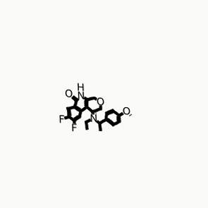 CCN(C(C)c1ccc(OC)cc1)[C@@H]1COCc2[nH]c(=O)c3cc(F)c(F)cc3c21